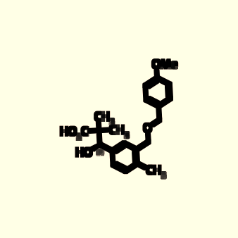 COc1ccc(COCc2cc([C@@H](O)C(C)(C)C(=O)O)ccc2C)cc1